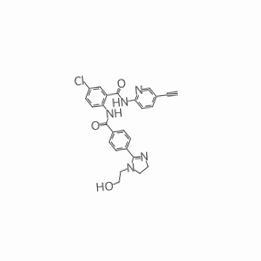 C#Cc1ccc(NC(=O)c2cc(Cl)ccc2NC(=O)c2ccc(C3=NCCN3CCO)cc2)nc1